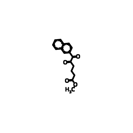 COC(=O)CCCC(=O)C(=O)c1ccc2ccccc2c1